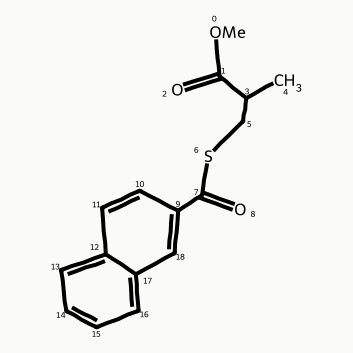 COC(=O)C(C)CSC(=O)c1ccc2ccccc2c1